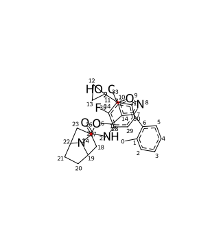 Cc1ccccc1-c1noc(C2CC2)c1COC1CC2CCC(C1)N2C(=O)Nc1cccc(C(=O)O)c1F